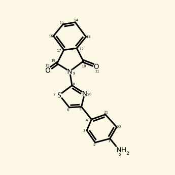 Nc1ccc(-c2csc(N3C(=O)c4ccccc4C3=O)n2)cc1